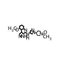 COc1cccc2nc(Nc3cnn(C4CCN(C(C)=O)CC4)c3)c3[nH]ncc3c12